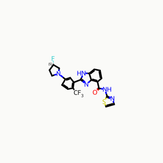 O=C(Nc1nccs1)c1cccc2[nH]c(-c3cc(N4CC[C@H](F)C4)ccc3C(F)(F)F)nc12